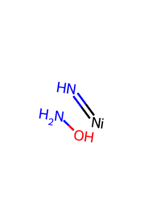 NO.[NH]=[Ni]